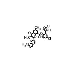 Cc1cc([C@@H](C)Oc2ccc(Cl)nc2-c2noc(=O)[nH]2)c2oc(-c3ccc4cnn(C)c4n3)c(C)c(=O)c2c1